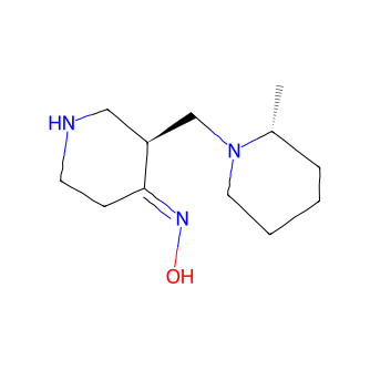 C[C@@H]1CCCCN1C[C@@H]1CNCCC1=NO